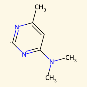 Cc1cc(N(C)C)n[c]n1